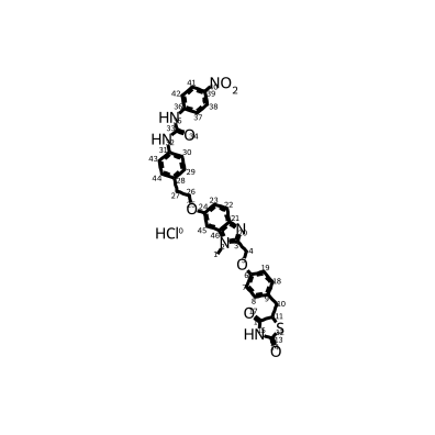 Cl.Cn1c(COc2ccc(CC3SC(=O)NC3=O)cc2)nc2ccc(OCCc3ccc(NC(=O)Nc4ccc([N+](=O)[O-])cc4)cc3)cc21